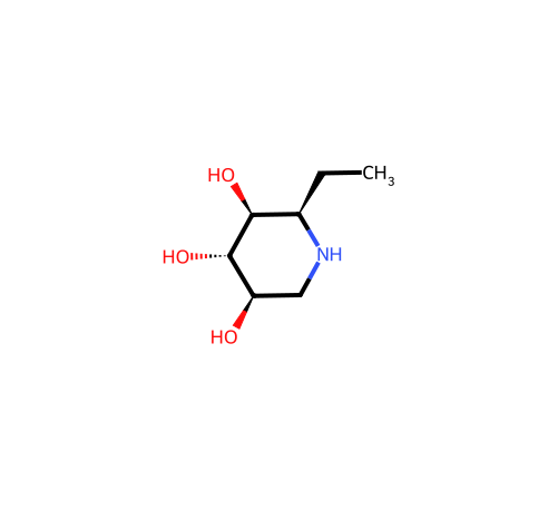 CC[C@H]1NC[C@@H](O)[C@H](O)[C@H]1O